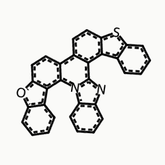 c1ccc2c(c1)nc1c3c(ccc4sc5ccccc5c43)c3ccc4oc5ccccc5c4c3n21